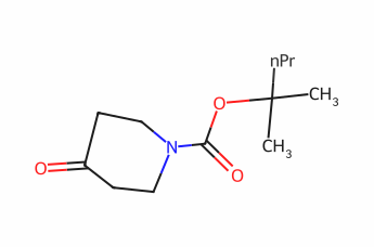 CCCC(C)(C)OC(=O)N1CCC(=O)CC1